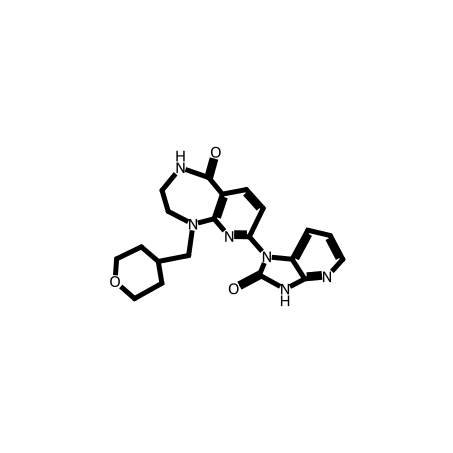 O=C1NCCN(CC2CCOCC2)c2nc(-n3c(=O)[nH]c4ncccc43)ccc21